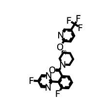 O=C(c1cccc(F)c1-c1ncc(F)cn1)N1CCC[C@@H](Oc2ccc(C(F)(F)F)cn2)C1